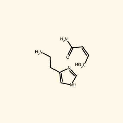 NC(=O)/C=C\C(=O)O.NCCc1c[nH]cn1